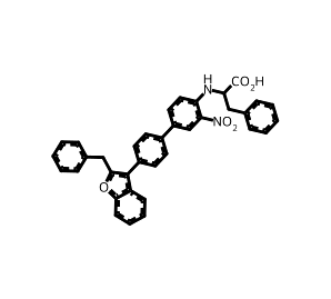 O=C(O)C(Cc1ccccc1)Nc1ccc(-c2ccc(-c3c(Cc4ccccc4)oc4ccccc34)cc2)cc1[N+](=O)[O-]